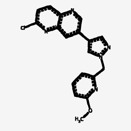 COc1cccc(Cn2cc(-c3cnc4ccc(Cl)nc4c3)cn2)n1